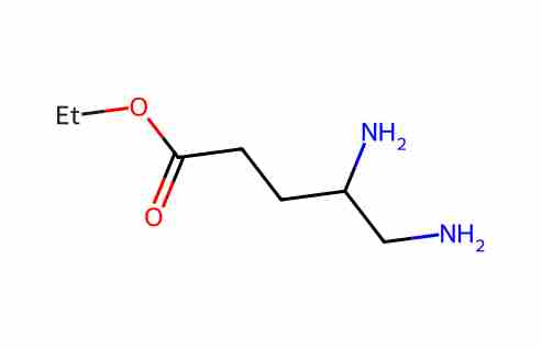 CCOC(=O)CCC(N)CN